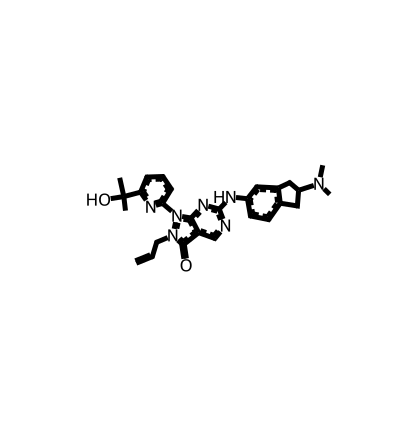 C=CCn1c(=O)c2cnc(Nc3ccc4c(c3)CC(N(C)C)C4)nc2n1-c1cccc(C(C)(C)O)n1